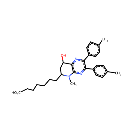 Cc1ccc(-c2nc3c(nc2-c2ccc(C)cc2)N(C)C(CCCCCCC(=O)O)CC3O)cc1